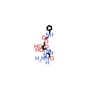 C[C@]1(O)C(n2cnc3c(=O)[nH]c(N)nc32)OC(COC(=O)CNCc2ccccc2)[C@H]1O